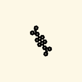 c1ccc(-n2c3ccccc3c3cc(-c4c5ccccc5c(-c5c6ccccc6c(-c6ccc7c(c6)c6ccccc6n7-c6ccccc6)c6ccccc56)c5ccccc45)ccc32)cc1